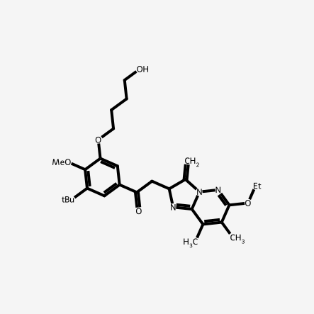 C=C1C(CC(=O)c2cc(OCCCCO)c(OC)c(C(C)(C)C)c2)N=C2C(C)=C(C)C(OCC)=NN12